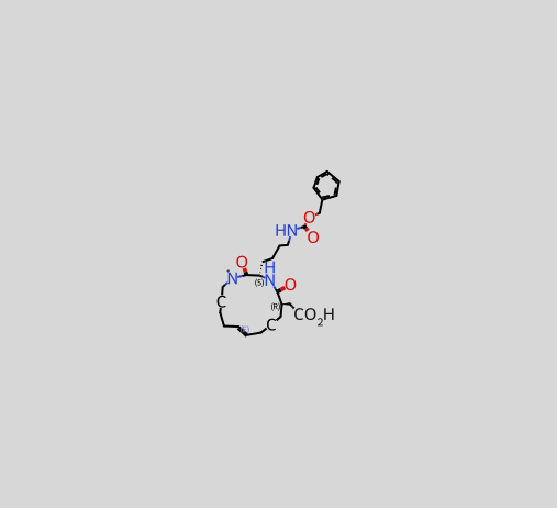 CN1CCCC/C=C/CCC[C@H](CC(=O)O)C(=O)N[C@@H](CCCCNC(=O)OCc2ccccc2)C1=O